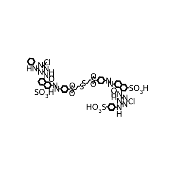 O=S(=O)(O)c1ccc(Nc2nc(Cl)nc(Nc3cc(S(=O)(=O)O)cc4ccc(N=Nc5ccc(S(=O)(=O)CCSSCCS(=O)(=O)c6ccc(N=Nc7c(S(=O)(=O)O)cc8cccc(Nc9nc(Cl)nc(Nc%10ccccc%10)n9)c8c7O)cc6)cc5)c(O)c34)n2)cc1